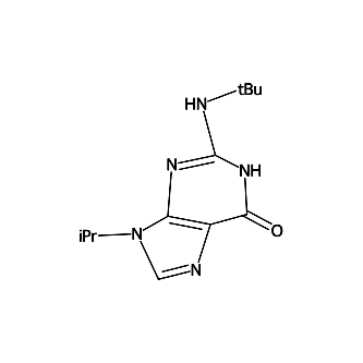 CC(C)n1cnc2c(=O)[nH]c(NC(C)(C)C)nc21